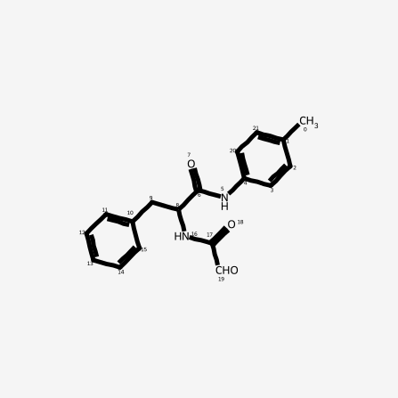 Cc1ccc(NC(=O)C(Cc2ccccc2)NC(=O)C=O)cc1